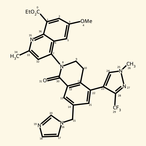 CCOC(=O)c1cc(OC)cc2c(N3CCc4c(cc(Cn5ccnc5)cc4-c4cn(C)nc4C(F)(F)F)C3=O)cc(C)nc12